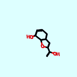 CC(O)C1CC2CC=CC(O)C2O1